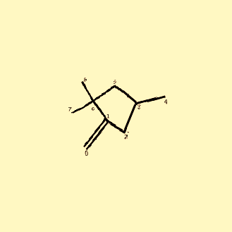 C=C1[CH]C(C)CC1(C)C